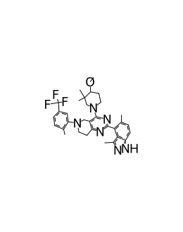 COC1CCN(c2nc(-c3c(C)ccc4[nH]nc(C)c34)nc3c2CN(c2cc(C(F)(F)F)ccc2C)CC3)CC1(C)C